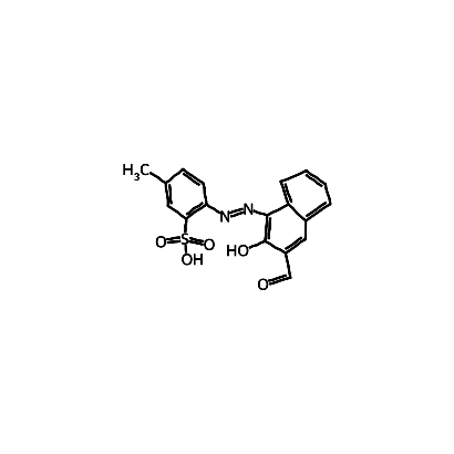 Cc1ccc(N=Nc2c(O)c(C=O)cc3ccccc23)c(S(=O)(=O)O)c1